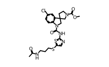 COC(=O)N1CCC2(C1)CN(C(=O)Nc1ncc(SCCCNC(C)=O)s1)c1ccc(Cl)cc12